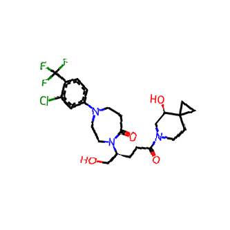 O=C(CC[C@@H](CO)N1CCN(c2ccc(C(F)(F)F)c(Cl)c2)CCC1=O)N1CCC2(CC2)[C@H](O)C1